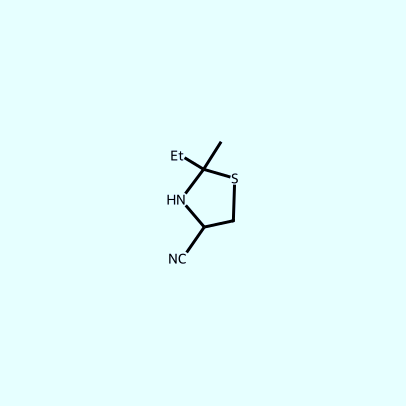 CCC1(C)NC(C#N)CS1